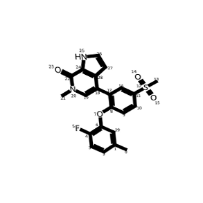 Cc1ccc(F)c(Oc2ccc(S(C)(=O)=O)cc2-c2cn(C)c(=O)c3[nH]ccc23)c1